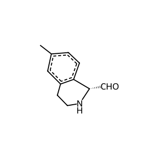 Cc1ccc2c(c1)CCN[C@H]2C=O